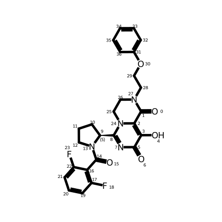 O=C1c2c(O)c(=O)nc([C@@H]3CCCN3C(=O)c3c(F)cccc3F)n2CCN1CCOc1ccccc1